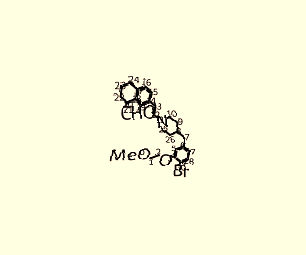 COCCOc1cc(CC2CCN(CCc3ccc4c(c3)C(C=O)CCC4)CC2)ccc1Br